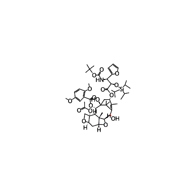 COc1ccc(OC)c(C(=O)O[C@H]2[C@@H]3[C@]4(OC(C)=O)CO[C@@H]4C[C@H]4O[C@@H]([C@H](O)C5=C(C)[C@@H](OC(=O)[C@H](O[Si](C(C)C)(C(C)C)C(C)C)[C@@H](NC(=O)OC(C)(C)C)c6ccco6)C[C@]2(O)C5(C)C)[C@@]34C)c1